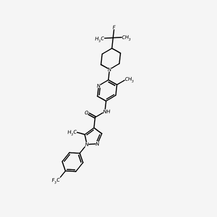 Cc1cc(NC(=O)c2cnn(-c3ccc(C(F)(F)F)cc3)c2C)cnc1N1CCC(C(C)(C)F)CC1